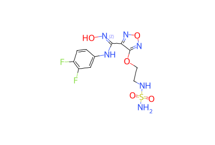 NS(=O)(=O)NCCOc1nonc1/C(=N/O)Nc1ccc(F)c(F)c1